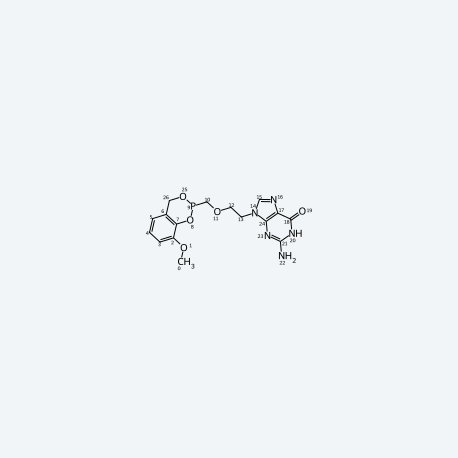 COc1cccc2c1OP(COCCn1cnc3c(=O)[nH]c(N)nc31)OC2